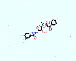 C[C@@]1(CN(O)C(=O)c2ccccc2)CO[C@H](CNC(=O)c2ccc(Cl)c(Cl)c2)[C@H]1O